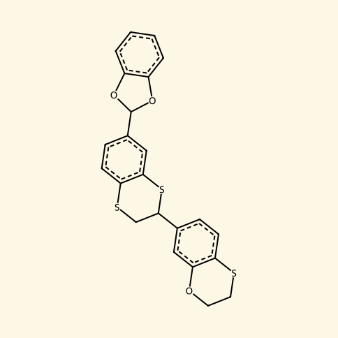 c1ccc2c(c1)OC(c1ccc3c(c1)SC(c1ccc4c(c1)OCCS4)CS3)O2